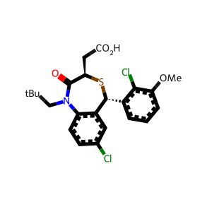 COc1cccc([C@H]2S[C@H](CC(=O)O)C(=O)N(CC(C)(C)C)c3ccc(Cl)cc32)c1Cl